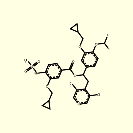 CS(=O)(=O)Nc1ccc(C(=O)OC(Cc2c(Cl)cncc2Cl)c2ccc(OC(F)F)c(OCC3CC3)c2)cc1OCC1CC1